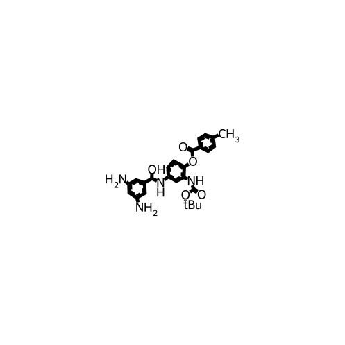 Cc1ccc(C(=O)Oc2ccc(NC(O)c3cc(N)cc(N)c3)cc2NC(=O)OC(C)(C)C)cc1